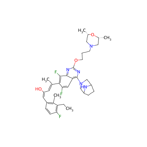 CCc1c(F)ccc(/C=C(O)\C=C(/C)c2c(F)cc3c(N4CC5CCC(C4)N5)nc(OCCCN4C[C@@H](C)O[C@@H](C)C4)nc3c2F)c1C